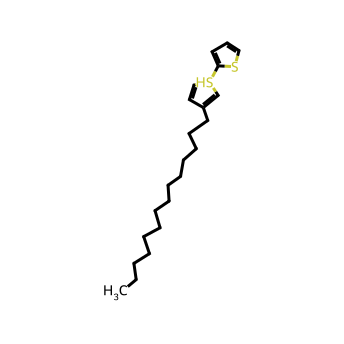 CCCCCCCCCCCCCCC1=C[SH](c2cccs2)C=C1